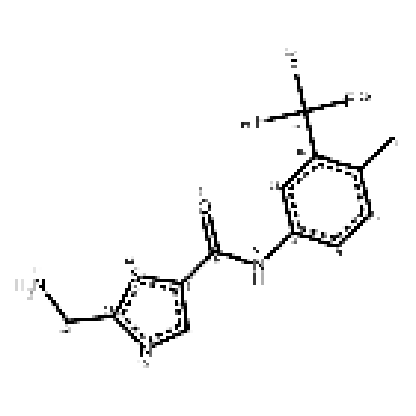 Cc1ccc(NC(=O)c2cnc(CN)s2)cc1C(F)(F)F